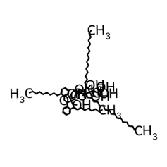 CCCCCCCCCCCCCCCCCCC(CCCCCCCCCCCCCCCCCC)(OP(O)OCC(CO)(CO)C(Oc1ccccc1CCCCCCCCC)c1ccccc1CCCCCCCCC)C(CO)(CO)COP(O)O